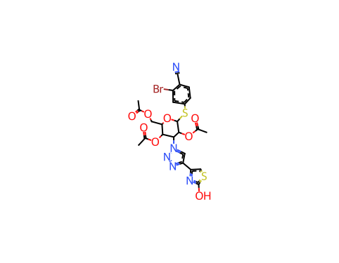 CC(=O)OCC1OC(Sc2ccc(C#N)c(Br)c2)C(OC(C)=O)C(n2cc(-c3csc(O)n3)nn2)C1OC(C)=O